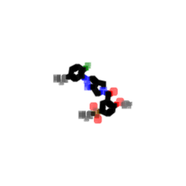 Cc1ccc(F)c(-n2cc3c(n2)CN(C(=O)c2cc(S(C)(=O)=O)ccc2OC(C)C)C3)c1